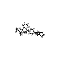 N#CC1(NC(=O)[C@@H]2CCCC[C@H]2C(=O)N2CCN(c3nc4c(s3)CCC4)CC2)CC1